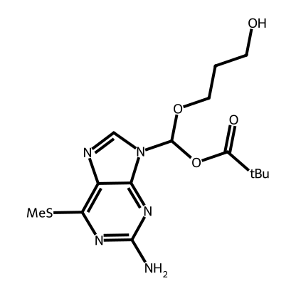 CSc1nc(N)nc2c1ncn2C(OCCCO)OC(=O)C(C)(C)C